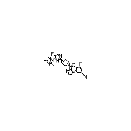 Cc1nc(C)n(-c2nc(N3CCN(C(=O)N4N=CC[C@H]4c4cc(F)cc(C#N)c4)CC3)ncc2F)n1